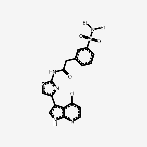 CCN(CC)S(=O)(=O)c1cccc(CC(=O)Nc2nc(-c3c[nH]c4nccc(Cl)c34)cs2)c1